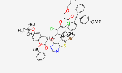 C=CCOC[C@H](COC(c1ccccc1)(c1ccc(OC)cc1)c1ccc(OC)cc1)Oc1c(Cl)c(C)c(-c2c(Br)sc3ncnc(OC(Cc4cc(O[Si](C)(C)C(C)(C)C)ccc4OCc4ccccc4)C(=O)OC(C)(C)C)c23)c(C)c1Cl